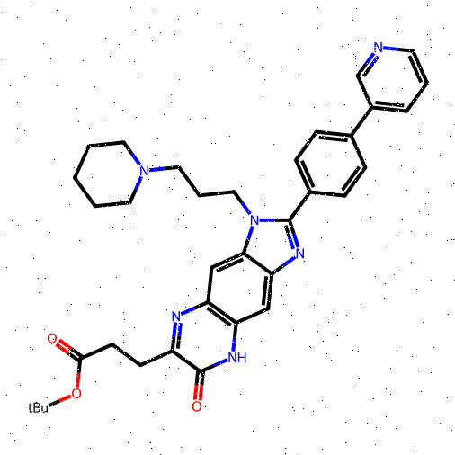 CC(C)(C)OC(=O)CCc1nc2cc3c(cc2[nH]c1=O)nc(-c1ccc(-c2cccnc2)cc1)n3CCCN1CCCCC1